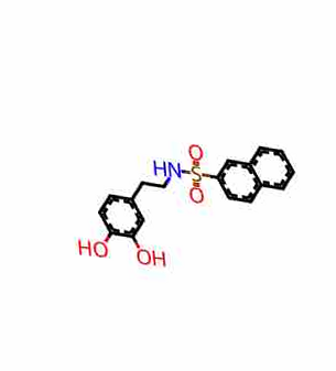 O=S(=O)(NCCc1ccc(O)c(O)c1)c1ccc2ccccc2c1